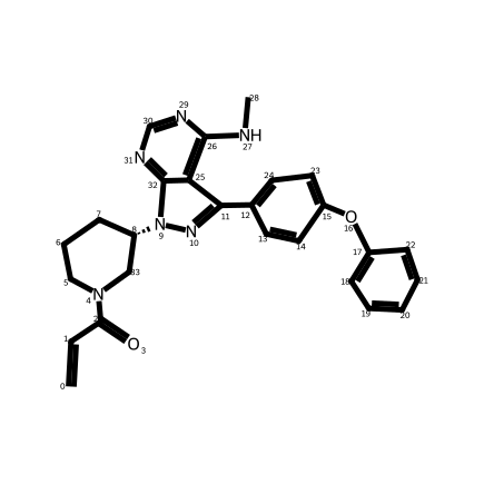 C=CC(=O)N1CCC[C@H](n2nc(-c3ccc(Oc4ccccc4)cc3)c3c(NC)ncnc32)C1